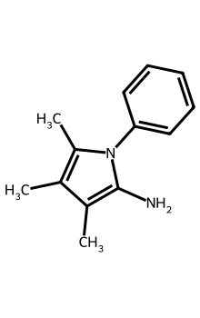 Cc1c(C)c(N)n(-c2ccccc2)c1C